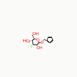 OC[C@H]1OC(OCc2ccccc2)[C@H](O)[C@@H](F)[C@@H]1O